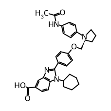 CC(=O)Nc1ccc(N2CCC[C@H]2COc2ccc(-c3nc4cc(C(=O)O)ccc4n3C3CCCCC3)cc2)cc1